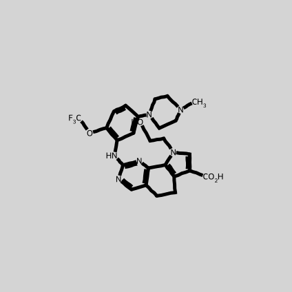 CN1CCN(c2ccc(OC(F)(F)F)c(Nc3ncc4c(n3)-c3c(c(C(=O)O)cn3CCO)CC4)c2)CC1